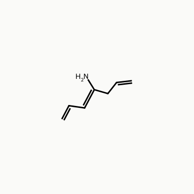 C=CC=C(N)CC=C